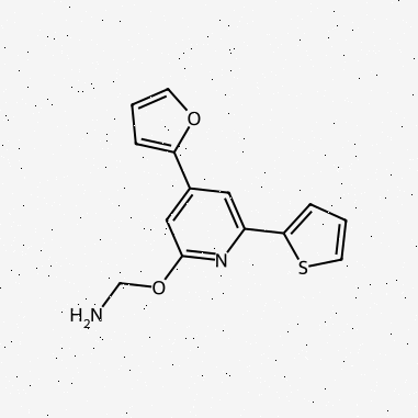 NCOc1cc(-c2ccco2)cc(-c2cccs2)n1